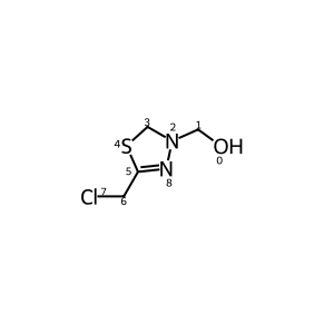 OCN1CSC(CCl)=N1